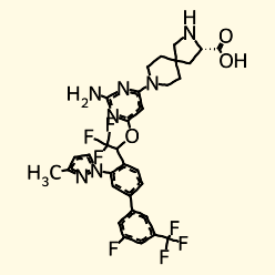 Cc1ccn(-c2cc(-c3cc(F)cc(C(F)(F)F)c3)ccc2C(Oc2cc(N3CCC4(CC3)CN[C@H](C(=O)O)C4)nc(N)n2)C(F)(F)F)n1